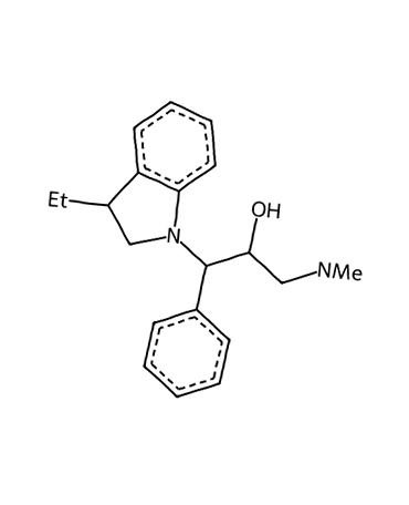 CCC1CN(C(c2ccccc2)C(O)CNC)c2ccccc21